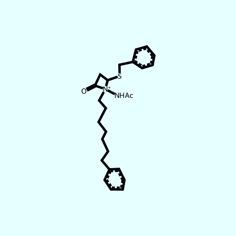 CC(=O)N[N+]1(CCCCCCCc2ccccc2)C(=O)CC1SCc1ccccc1